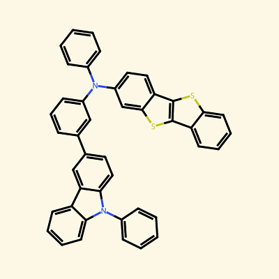 c1ccc(N(c2cccc(-c3ccc4c(c3)c3ccccc3n4-c3ccccc3)c2)c2ccc3c(c2)sc2c4ccccc4sc32)cc1